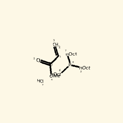 C=CC(=O)OC.CCCCCCCCP(CCCCCCCC)CCCCCCCC.Cl